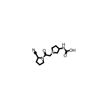 N#CC1CCCN1C(=O)CN1CCC(NC(=O)O)C1